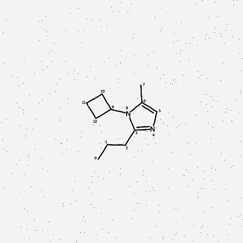 CCCc1ncc(C)n1C1CCC1